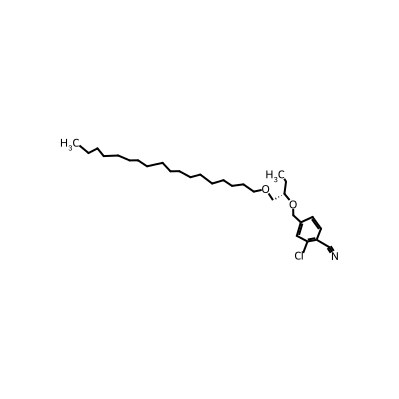 CCCCCCCCCCCCCCCCCCOC[C@H](CC)OCc1ccc(C#N)c(Cl)c1